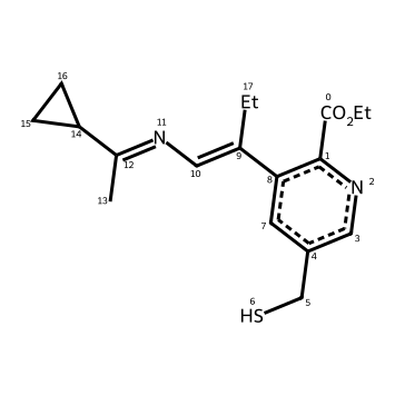 CCOC(=O)c1ncc(CS)cc1/C(=C/N=C(\C)C1CC1)CC